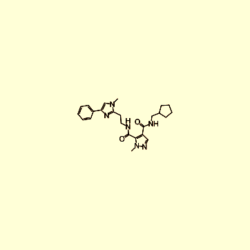 Cn1cc(-c2ccccc2)nc1CCNC(=O)c1c(C(=O)NCC2CCCC2)cnn1C